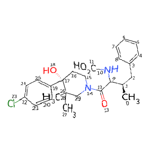 C[C@H](Cc1ccccc1)C(NC(=O)O)C(=O)N1CC[C@](O)(c2ccc(Cl)cc2)C(C)(C)C1